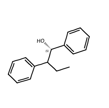 CCC(c1ccccc1)[C@H](O)c1ccccc1